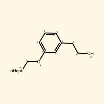 CCCCCCCCOc1cccc(CCO)c1